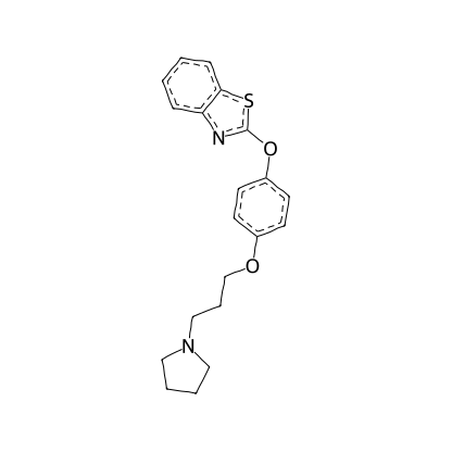 c1ccc2sc(Oc3ccc(OCCCN4CCCC4)cc3)nc2c1